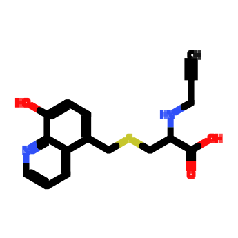 C#CCNC(CSCc1ccc(O)c2ncccc12)C(=O)O